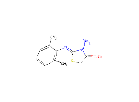 Cc1cccc(C)c1/N=C1\SCC(=O)N1N